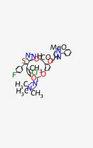 COc1ccccc1-c1nccc(COc2ccc3cc2C[C@H](C(=O)O)Oc2ncnc4sc(-c5ccc(F)cc5)c(c24)-c2ccc(c(Cl)c2C)OC(CN2C[C@@H](C)N(C)[C@@H](C)C2)CO3)n1